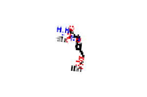 C[C@@H](OCc1ccc(C#CCOCC(=O)OC(C)(C)C)cc1)[C@H](CCC(N)=O)NC(=O)OC(C)(C)C